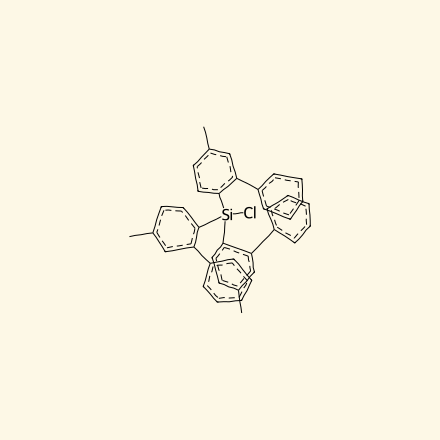 Cc1ccc([Si](Cl)(c2ccc(C)cc2-c2ccccc2)c2ccc(C)cc2-c2ccccc2)c(-c2ccccc2)c1